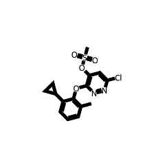 Cc1cccc(C2CC2)c1Oc1nnc(Cl)cc1OS(C)(=O)=O